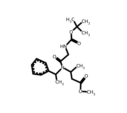 COC(=O)CC(C)N(C(=O)CNC(=O)OC(C)(C)C)C(C)c1ccccc1